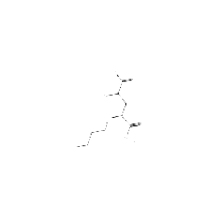 NC(=O)C(CC(N)C(=O)O)OCCCF